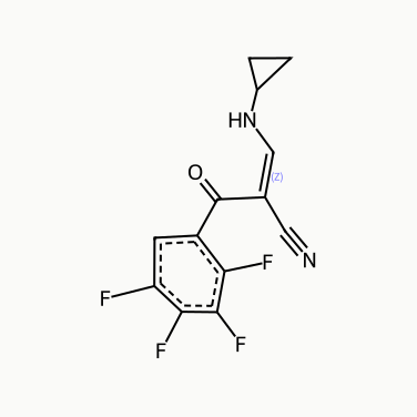 N#C/C(=C/NC1CC1)C(=O)c1cc(F)c(F)c(F)c1F